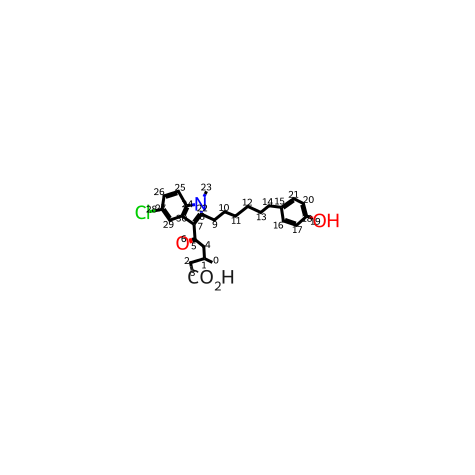 CC(CC(=O)O)CC(=O)c1c(CCCCCCc2ccc(O)cc2)n(C)c2ccc(Cl)cc12